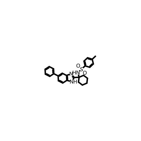 Cc1ccc(S(=O)(=O)NC2(c3nc4cc(-c5ccccc5)ccc4[nH]3)CCCCC2)cc1